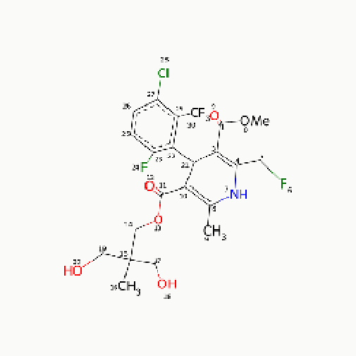 COC(=O)C1=C(CF)NC(C)=C(C(=O)OCC(C)(CO)CO)C1c1c(F)ccc(Cl)c1C(F)(F)F